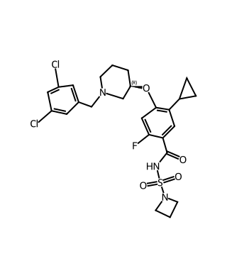 O=C(NS(=O)(=O)N1CCC1)c1cc(C2CC2)c(O[C@@H]2CCCN(Cc3cc(Cl)cc(Cl)c3)C2)cc1F